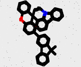 CC1(C)c2ccccc2-c2cc(-c3ccc4c(c3)C3(c5ccccc5O4)c4ccccc4-n4c5ccccc5c5cccc3c54)ccc21